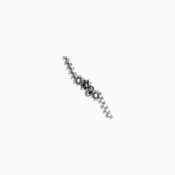 CCCCCCCCCc1ccc(C(=O)Oc2cnc(-c3ccc(CCCCCCCCC)cc3)nc2)cc1